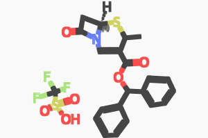 CC1S[C@@H]2CC(=O)N2C=C1C(=O)OC(c1ccccc1)c1ccccc1.O=S(=O)(O)C(F)(F)F